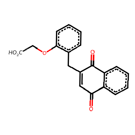 O=C(O)COc1ccccc1CC1=CC(=O)c2ccccc2C1=O